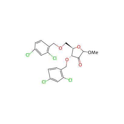 COC1O[C@H](COCc2ccc(Cl)cc2Cl)[C@@H](OCc2ccc(Cl)cc2Cl)C1=O